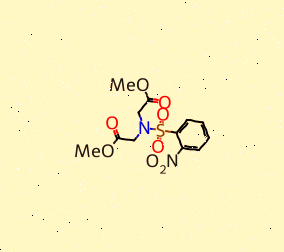 COC(=O)CN(CC(=O)OC)S(=O)(=O)c1ccccc1[N+](=O)[O-]